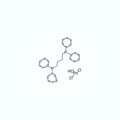 Cl.[Cl][Pd][Cl].c1ccc(P(CCCCP(c2ccccc2)c2ccccc2)c2ccccc2)cc1